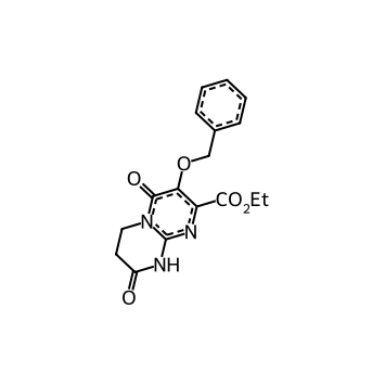 CCOC(=O)c1nc2n(c(=O)c1OCc1ccccc1)CCC(=O)N2